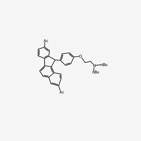 CCCCN(CCCC)CCOc1ccc(C2c3cc(C(C)=O)ccc3-c3ccc4cc(C(C)=O)ccc4c32)cc1